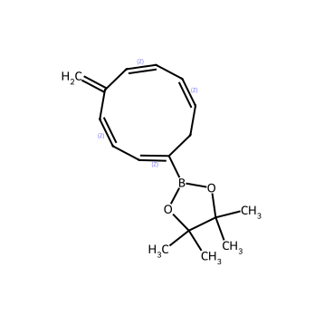 C=C1/C=C\C=C/C/C(B2OC(C)(C)C(C)(C)O2)=C\C=C/1